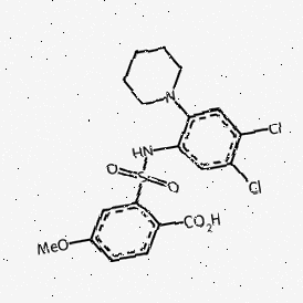 COc1ccc(C(=O)O)c(S(=O)(=O)Nc2cc(Cl)c(Cl)cc2N2CCCCC2)c1